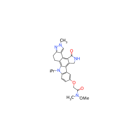 CON(C)C(=O)COc1ccc2c(c1)c1c3c(c4c(c1n2C(C)C)CCc1nn(C)cc1-4)C(=O)NC3